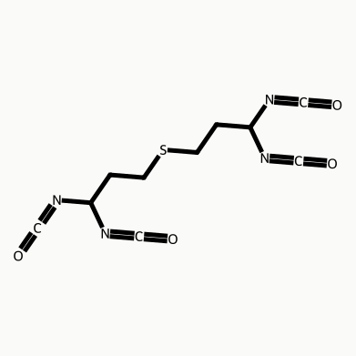 O=C=NC(CCSCCC(N=C=O)N=C=O)N=C=O